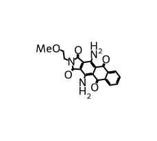 COCCn1c(=O)c2c(N)c3c(=O)c4ccccc4c(=O)c3c(N)c2c1=O